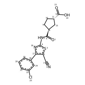 N#Cc1sc(NC(=O)[C@H]2CC[C@H](C(=O)O)C2)nc1-c1cccc(Cl)c1